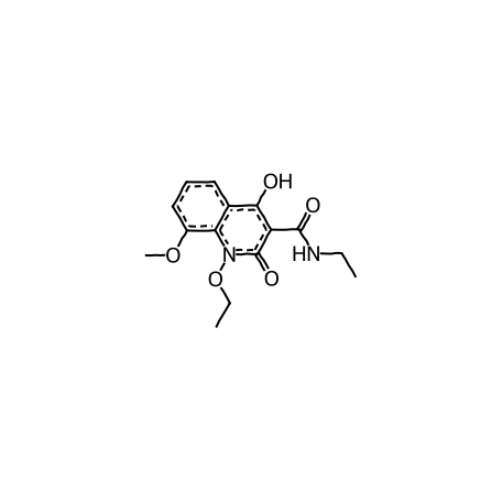 CCNC(=O)c1c(O)c2cccc(OC)c2n(OCC)c1=O